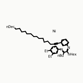 CCCCCCCCCCCCCCCCCCCCCCCC#Cc1cccc(N=C(CCCCCC)C(CCCC)=Nc2ccc(CC)c(CC)c2)c1.[Ni]